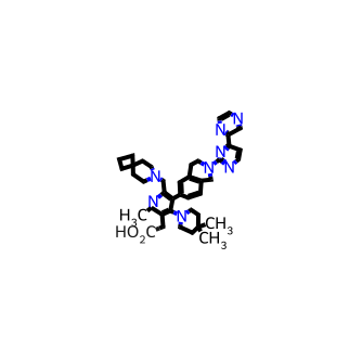 Cc1nc(CN2CCC3(CCC3)CC2)c(-c2ccc3c(c2)CCN(c2nccc(-c4cnccn4)n2)C3)c(N2CCC(C)(C)CC2)c1CC(=O)O